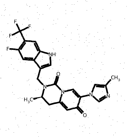 Cc1cn(-c2cn3c(cc2=O)C[C@@H](C)N(Cc2c[nH]c4cc(C(F)(F)F)c(F)cc24)C3=O)cn1